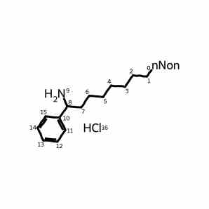 CCCCCCCCCCCCCCCCC(N)c1ccccc1.Cl